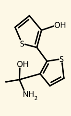 CC(N)(O)c1ccsc1-c1sccc1O